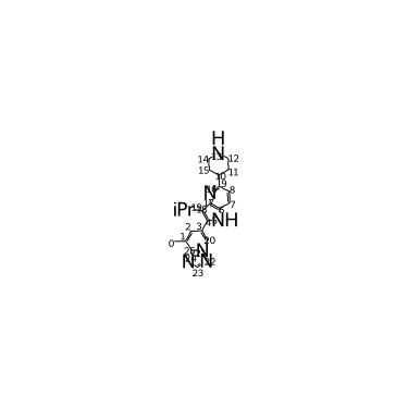 Cc1cc(-c2[nH]c3ccc(C4CCNCC4)nc3c2C(C)C)cn2ncnc12